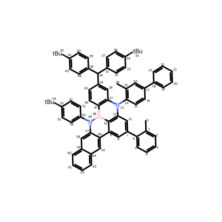 Cc1ccccc1-c1cc2c3c(c1)N(c1ccc(-c4ccccc4)cc1C)c1cc(C(c4ccc(C(C)(C)C)cc4)c4ccc(C(C)(C)C)cc4)ccc1B3N(c1ccc(C(C)(C)C)cc1)c1cc3ccccc3cc1-2